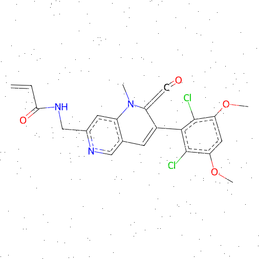 C=CC(=O)NCc1cc2c(cn1)C=C(c1c(Cl)c(OC)cc(OC)c1Cl)C(=C=O)N2C